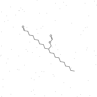 CCCCCCCCCCC(CCCCCCCCC=O)COC=O